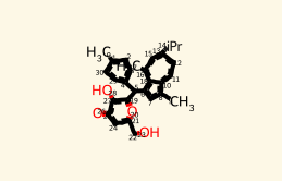 Cc1ccc(C(c2cc(C)c3ccc(C(C)C)cc(C)c2-3)c2oc(CO)cc(=O)c2O)cc1